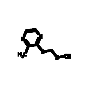 Cc1nccnc1SCSC#N